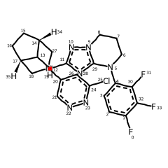 Fc1ccc(N2CCCn3nc(NC4[C@@H]5CC[C@H]4CN(c4cnnc(Cl)c4)C5)nc32)c(F)c1F